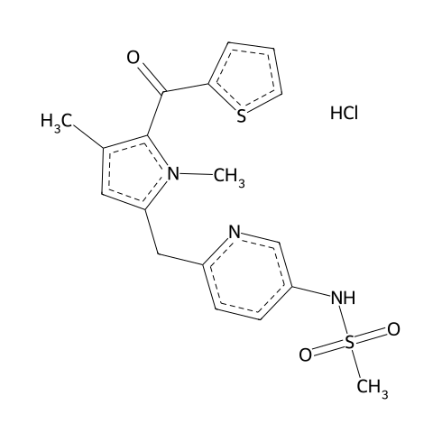 Cc1cc(Cc2ccc(NS(C)(=O)=O)cn2)n(C)c1C(=O)c1cccs1.Cl